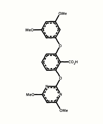 COc1cc(OC)cc(Oc2cccc(Oc3nc(OC)cc(OC)n3)c2C(=O)O)c1